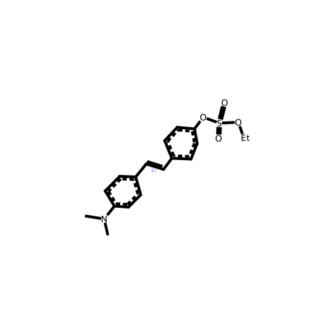 CCOS(=O)(=O)Oc1ccc(/C=C/c2ccc(N(C)C)cc2)cc1